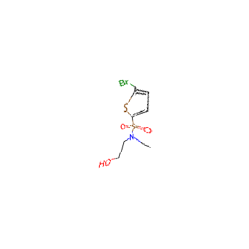 CN(CCO)S(=O)(=O)c1ccc(Br)s1